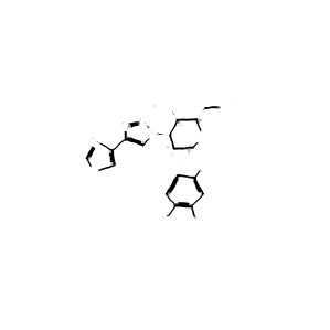 CC(=O)OC[C@H]1O[C@H](Sc2ccc(Cl)c(Cl)c2)[C@H](OC(C)=O)[C@@H](n2cc(-c3cscn3)nn2)[C@H]1OC(C)=O